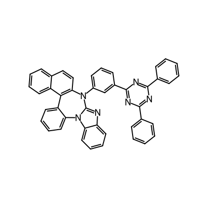 c1ccc(-c2nc(-c3ccccc3)nc(-c3cccc(N4c5ccc6ccccc6c5-c5ccccc5-n5c4nc4ccccc45)c3)n2)cc1